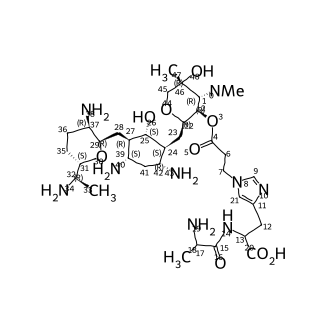 CN[C@@H]1[C@@H](OC(=O)CCn2cnc(CC(NC(=O)C(C)N)C(=O)O)c2)[C@@H](C[C@@H]2[C@@H](O)[C@H](C[C@H]3O[C@H]([C@@H](C)N)CC[C@H]3N)[C@@H](N)C[C@H]2N)OC[C@]1(C)O